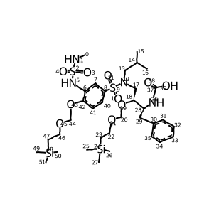 CNS(=O)(=O)Nc1cc(S(=O)(=O)N(CC(C)C)C[C@H](OCOCC[Si](C)(C)C)[C@H](Cc2ccccc2)NC(=O)O)ccc1OCOCC[Si](C)(C)C